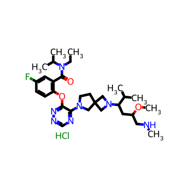 CCN(C(=O)c1cc(F)ccc1Oc1nncnc1N1CCC2(C1)CN(C(CC(CNC)OC)C(C)C)C2)C(C)C.Cl